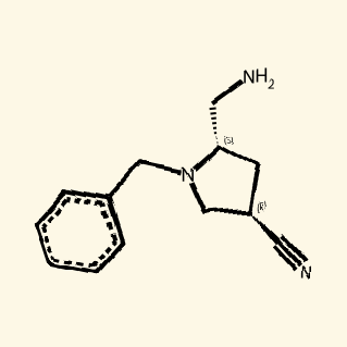 N#C[C@@H]1C[C@@H](CN)N(Cc2ccccc2)C1